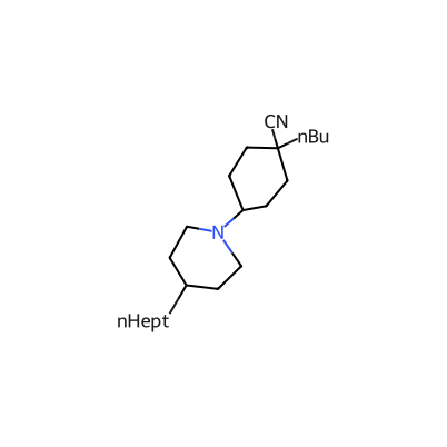 CCCCCCCC1CCN(C2CCC(C#N)(CCCC)CC2)CC1